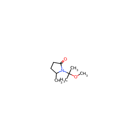 COC(C)(C)N1C(=O)CCC1C